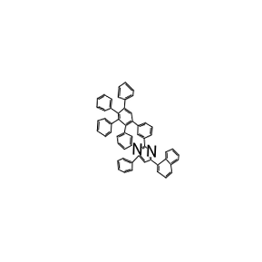 c1ccc(-c2cc(-c3cccc4ccccc34)nc(-c3cccc(-c4cc(-c5ccccc5)c(-c5ccccc5)c(-c5ccccc5)c4-c4ccccc4)c3)n2)cc1